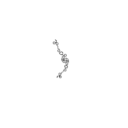 C=CC(=O)OCCCCOc1ccc(O[C@@H]2CO[C@H]3[C@@H]2OC[C@@H]3OC(=O)c2ccc(OCCCCOC(=O)C=C)cc2)cc1